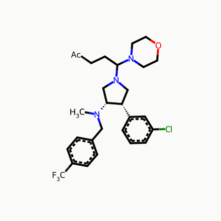 CC(=O)CCC(N1CCOCC1)N1C[C@H](c2cccc(Cl)c2)[C@H](N(C)Cc2ccc(C(F)(F)F)cc2)C1